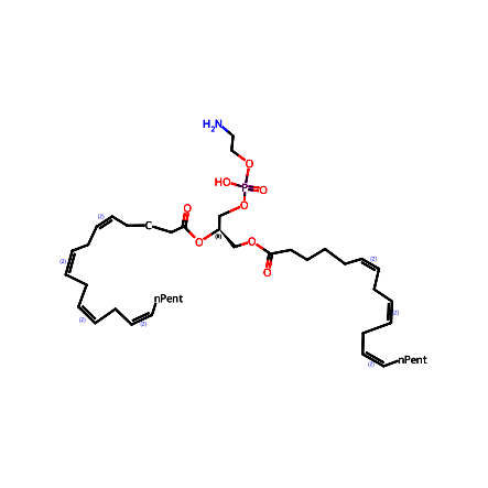 CCCCC/C=C\C/C=C\C/C=C\C/C=C\CCCC(=O)O[C@H](COC(=O)CCCC/C=C\C/C=C\C/C=C\CCCCC)COP(=O)(O)OCCN